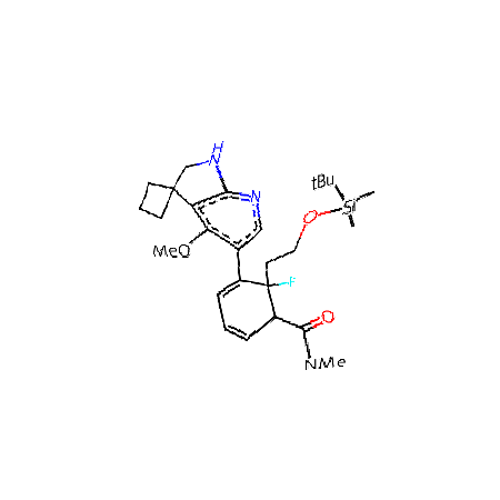 CNC(=O)C1C=CC=C(c2cnc3c(c2OC)C2(CCC2)CN3)C1(F)CCO[Si](C)(C)C(C)(C)C